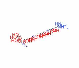 C/C=C/C=C/CC(OC1OC(C)C(O)C(O)C1O)C(C)C(=O)CC(O)CC(O)CC(O)/C=C/CC(O)CC(O)CC(O)CC(O)/C=C/CC(O)CC(O)CCCNC(=N)N